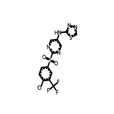 O=S(=O)(c1ccc(Cl)c(C(F)(F)F)c1)c1ncc(Nc2nncs2)cn1